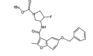 Cc1oc2ccc(OCc3ccccc3)cc2c1C(=O)NC1CN(C(=O)OC(C)(C)C)CC1F